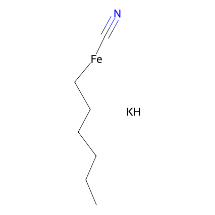 CCCCC[CH2][Fe][C]#N.[KH]